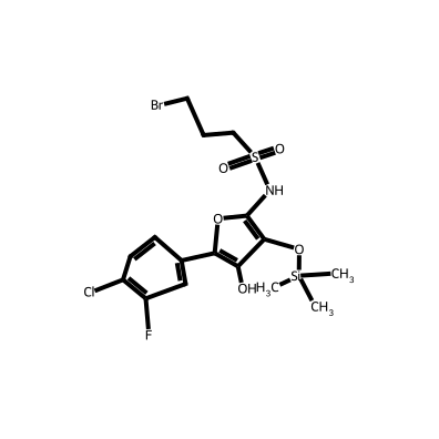 C[Si](C)(C)Oc1c(NS(=O)(=O)CCCBr)oc(-c2ccc(Cl)c(F)c2)c1O